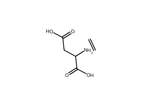 C=C.NC(CC(=O)O)C(=O)O